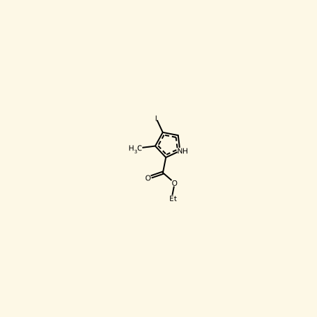 CCOC(=O)c1[nH]cc(I)c1C